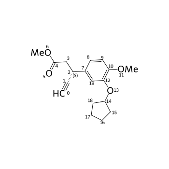 C#C[C@H](CC(=O)OC)c1ccc(OC)c(OC2CCCC2)c1